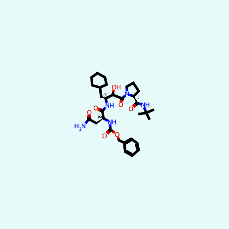 CC(C)(C)NC(=O)[C@@H]1CCCN1C(=O)C(O)[C@H](CC1CCCCC1)NC(=O)[C@H](CC(N)=O)NC(=O)OCc1ccccc1